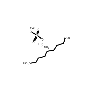 CCCCCCCCCCCCCCCCCC(=O)O.O.O.O=S(=O)([O-])[O-].[Ca+2]